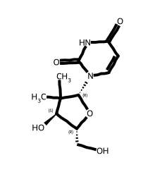 CC1(C)[C@H](O)[C@@H](CO)O[C@H]1n1ccc(=O)[nH]c1=O